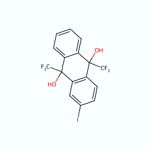 OC1(C(F)(F)F)c2ccccc2C(O)(C(F)(F)F)c2cc(I)ccc21